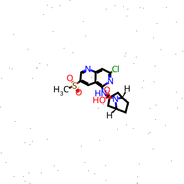 CS(=O)(=O)c1cnc2cc(Cl)nc(NC3C[C@H]4CC[C@@H](C3)N4C(=O)O)c2c1